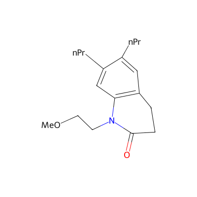 CCCc1cc2c(cc1CCC)N(CCOC)C(=O)CC2